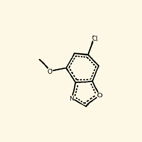 COc1cc(Cl)cc2ocnc12